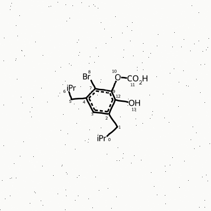 CC(C)Cc1cc(CC(C)C)c(Br)c(OC(=O)O)c1O